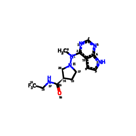 CN(c1ncnc2[nH]ccc12)N1CC[C@H](C(=O)NCC(F)(F)F)C1